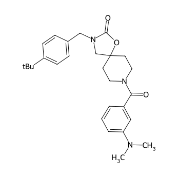 CN(C)c1cccc(C(=O)N2CCC3(CC2)CN(Cc2ccc(C(C)(C)C)cc2)C(=O)O3)c1